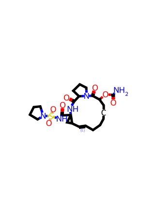 NC(=O)OC1CCCCC/C=C/C2CC2(C(=O)NS(=O)(=O)N2CCCC2)NC(=O)C2CCCN2C1=O